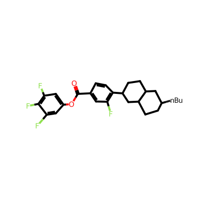 CCCCC1CCC2CC(c3ccc(C(=O)Oc4cc(F)c(F)c(F)c4)cc3F)CCC2C1